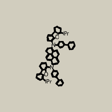 CC(C)c1cccc2c1oc1c(N(c3ccc(-c4ccccc4)cc3)c3ccc4ccc5c(N(c6ccc(-c7ccccc7)cc6)c6cccc7c6oc6c(C(C)C)cccc67)ccc6ccc3c4c65)cccc12